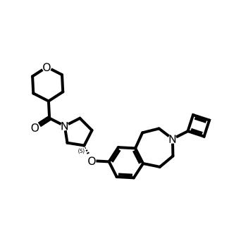 O=C(C1CCOCC1)N1CC[C@H](Oc2ccc3c(c2)CCN(C2=CC=C2)CC3)C1